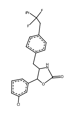 CC(C)C(F)(F)Cc1ccc(CC2NC(=O)OC2c2cccc(Cl)c2)cc1